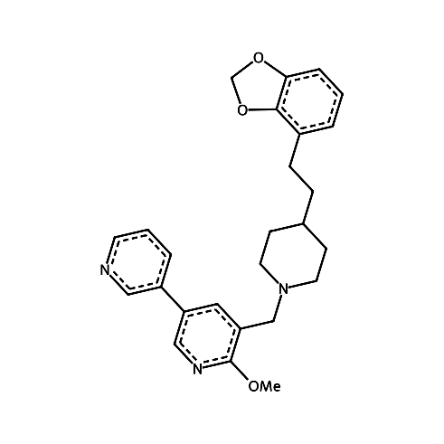 COc1ncc(-c2cccnc2)cc1CN1CCC(CCc2cccc3c2OCO3)CC1